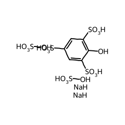 O=S(=O)(O)O.O=S(=O)(O)O.O=S(=O)(O)c1cc(S(=O)(=O)O)c(O)c(S(=O)(=O)O)c1.[NaH].[NaH]